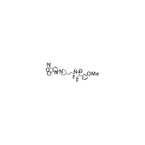 COc1cccc(C(C(=O)N(C)CCCC2CCN(c3ccc(C(=O)N(C)C)c(Cl)n3)CC2)C(F)F)c1